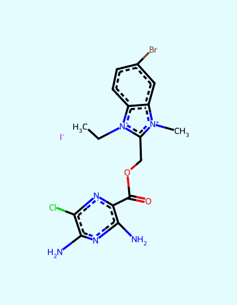 CCn1c(COC(=O)c2nc(Cl)c(N)nc2N)[n+](C)c2cc(Br)ccc21.[I-]